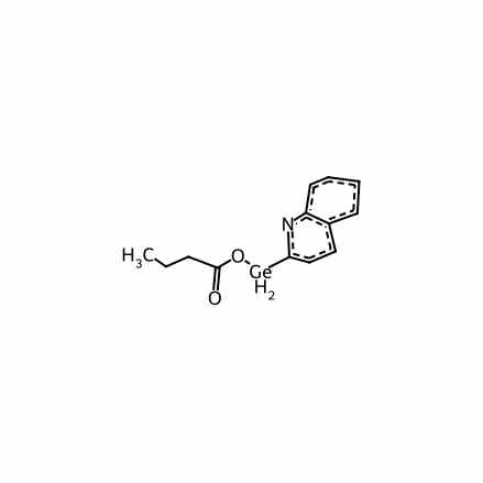 CCCC(=O)[O][GeH2][c]1ccc2ccccc2n1